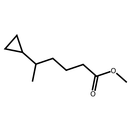 COC(=O)CCCC(C)C1CC1